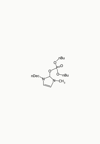 CCCCCCCCCCN1C=CN(C)C1OP(=O)(OCCCC)OCCCC